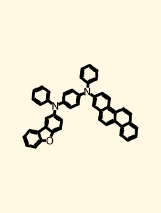 c1ccc(N(c2ccc(N(c3ccccc3)c3ccc4oc5ccccc5c4c3)cc2)c2ccc3c(ccc4c5ccccc5ccc34)c2)cc1